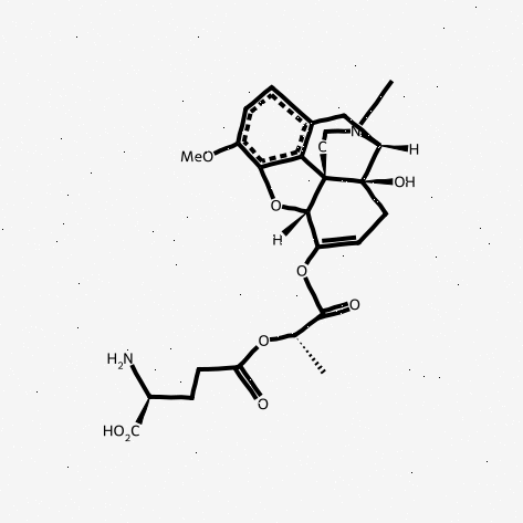 COc1ccc2c3c1O[C@H]1C(OC(=O)[C@H](C)OC(=O)CC[C@H](N)C(=O)O)=CC[C@@]4(O)[C@@H](C2)N(C)CC[C@]314